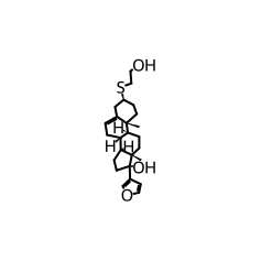 C[C@]12CC[C@H](SCCO)CC1=CC[C@@H]1[C@@H]2CC[C@@]2(C)[C@H]1CC[C@@]2(O)c1ccoc1